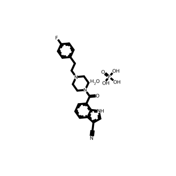 N#Cc1c[nH]c2c(C(=O)N3CCN(CCc4ccc(F)cc4)CC3)cccc12.O.O=P(O)(O)O